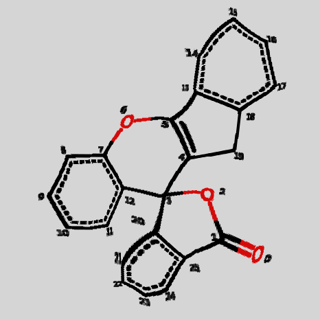 O=C1OC2(C3=C(Oc4ccccc42)c2ccccc2C3)c2ccccc21